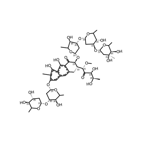 CO[C@H](C(=O)[C@@H](O)[C@@H](C)O)[C@@H]1Cc2cc3cc(O[C@H]4C[C@@H](O[C@H]5C[C@@H](O)[C@H](O)C(C)O5)[C@H](O)C(C)O4)c(C)c(O)c3c(O)c2C(=O)[C@H]1O[C@H]1C[C@@H](O[C@H]2C[C@H](O[C@H]3C[C@](C)(O)[C@H](O)C(C)O3)[C@@H](O)C(C)O2)[C@H](O)C(C)O1